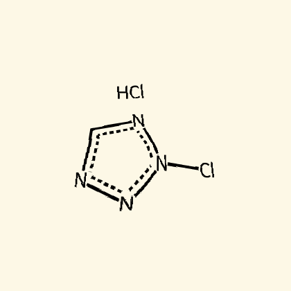 Cl.Cln1ncnn1